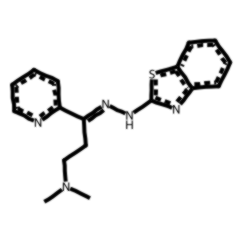 CN(C)CC/C(=N\Nc1nc2ccccc2s1)c1ccccn1